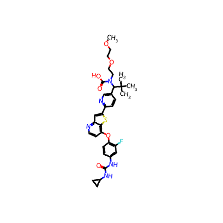 COCCOCCN(C(=O)O)C(c1ccc(-c2cc3nccc(Oc4ccc(NC(=O)NC5CC5)cc4F)c3s2)nc1)C(C)(C)C